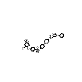 O=S(=O)(Nc1ccc(N2CCC(NC[C@H](O)COc3ccccc3)CC2)cc1)c1ccc(Oc2ncc(C(F)(F)F)cc2Cl)cc1